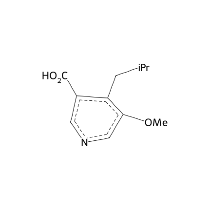 COc1cncc(C(=O)O)c1CC(C)C